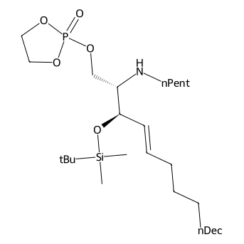 CCCCCCCCCCCCCC=C[C@@H](O[Si](C)(C)C(C)(C)C)[C@H](COP1(=O)OCCO1)NCCCCC